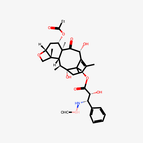 CCC(=O)O[C@H]1C[C@H]2OC[C@@]2(C)[C@H]2[C@H](C)[C@]3(O)C[C@H](OC(=O)[C@H](O)[C@@H](NBC=O)c4ccccc4)C(C)=C([C@@H](O)C(=O)[C@]12C)C3(C)C